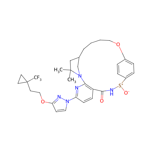 CC1(C)CC2CCCCOc3ccc(cc3)[S+]([O-])NC(=O)c3ccc(-n4ccc(OCCC5(C(F)(F)F)CC5)n4)nc3N1C2